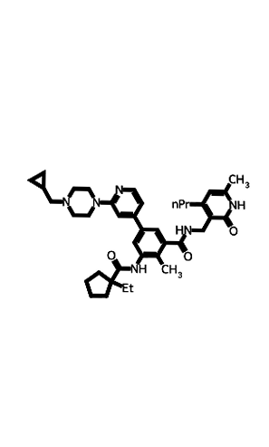 CCCc1cc(C)[nH]c(=O)c1CNC(=O)c1cc(-c2ccnc(N3CCN(CC4CC4)CC3)c2)cc(NC(=O)C2(CC)CCCC2)c1C